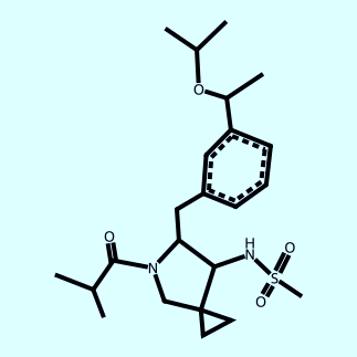 CC(C)OC(C)c1cccc(CC2C(NS(C)(=O)=O)C3(CC3)CN2C(=O)C(C)C)c1